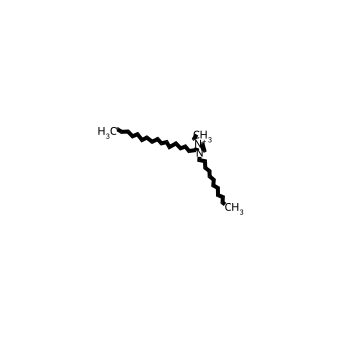 CCCCCCCCCCCCCCCCCc1n(CCCCCCCCCCCC)cc[n+]1CC